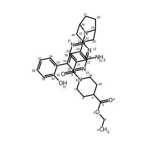 CCOC(=O)C1CCN(C(=O)c2cnc(N3C4CCC3CN(c3cc(-c5ccccc5O)nnc3N)C4)nc2)CC1